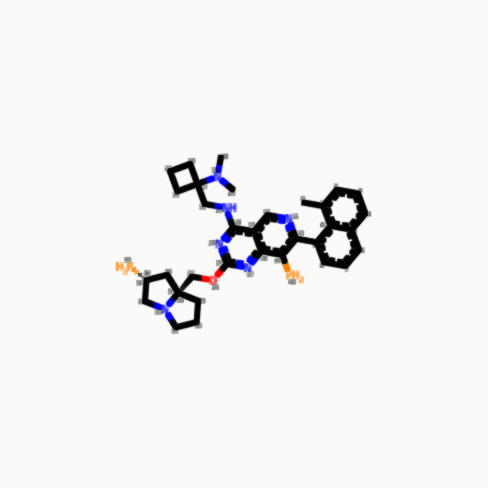 Cc1cccc2cccc(-c3ncc4c(NCC5(N(C)C)CCC5)nc(OC[C@@]56CCCN5C[C@H](P)C6)nc4c3P)c12